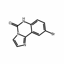 O=c1[nH]c2ccc(Br)cc2c2nccn12